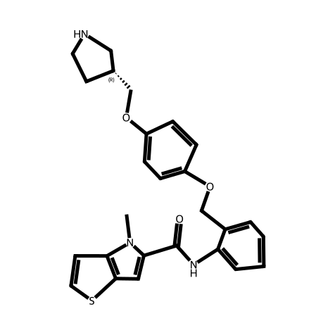 Cn1c(C(=O)Nc2ccccc2COc2ccc(OC[C@@H]3CCNC3)cc2)cc2sccc21